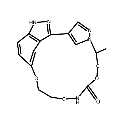 CC1COC(=O)NCCCOc2ccc3[nH]nc(c3c2)-c2cnn1c2